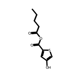 CCCCC(=O)OC(=O)c1cc(O)cs1